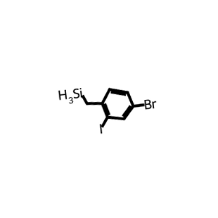 [SiH3]Cc1ccc(Br)cc1I